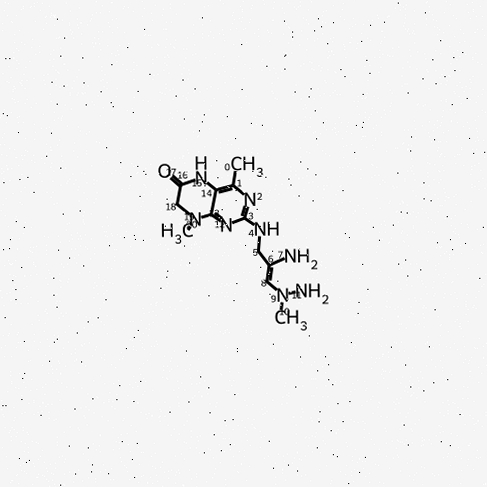 Cc1nc(NC/C(N)=C/N(C)N)nc2c1NC(=O)CN2C